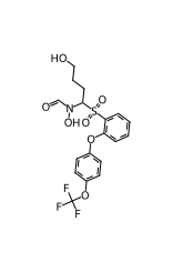 O=CN(O)C(CCCO)S(=O)(=O)c1ccccc1Oc1ccc(OC(F)(F)F)cc1